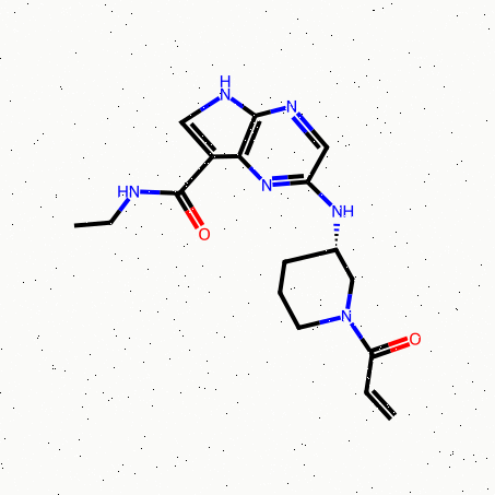 C=CC(=O)N1CCC[C@H](Nc2cnc3[nH]cc(C(=O)NCC)c3n2)C1